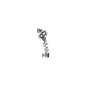 CNCCCCCCCCCCOc1cccc2c(Br)cccc12